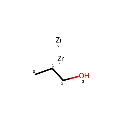 CCCO.[Zr].[Zr]